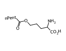 CCCCCC(=O)OCCCC(N)C(=O)O